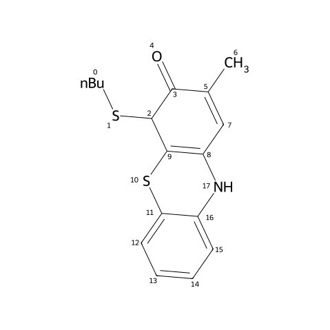 CCCCSC1C(=O)C(C)=CC2=C1Sc1ccccc1N2